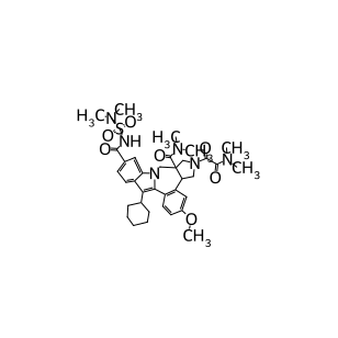 COc1ccc2c(c1)C1CN(C(=O)C(=O)N(C)C)CC1(C(=O)N(C)C)Cn1c-2c(C2CCCCC2)c2ccc(C(=O)NS(=O)(=O)N(C)C)cc21